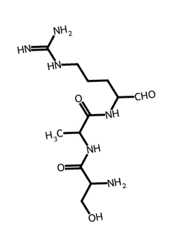 CC(NC(=O)C(N)CO)C(=O)NC(C=O)CCCNC(=N)N